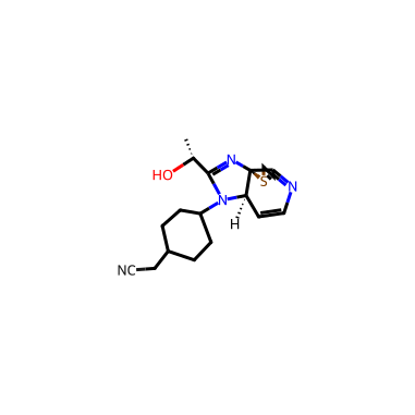 C[C@@H](O)C1=N[C@]23SC=CC2=NC=C[C@H]3N1C1CCC(CC#N)CC1